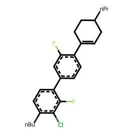 CCCCc1ccc(-c2ccc(C3=CCC(CCC)CC3)c(F)c2)c(F)c1Cl